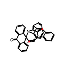 O=C1c2ccccc2C2(c3ccccc31)c1ccccc1-n1c3ccccc3c3ccc4c5ccccc5n2c4c31